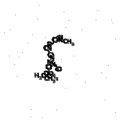 CCn1ncc2ccc(COc3cccc(C4CCN(Cc5nc6ccc(C(=O)OC(C)(C)C)cc6n5CC5CCO5)CC4)n3)cc21